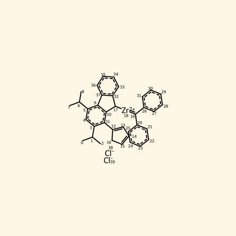 CC(C)c1cc(C(C)C)c2c(c1C1=CC=CC1)[CH]([Zr+2]=[C](c1ccccc1)c1ccccc1)c1ccccc1-2.[Cl-].[Cl-]